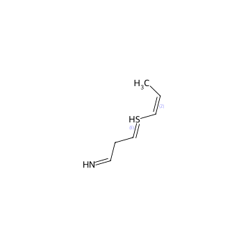 C/C=C\[SH]=C\CC=N